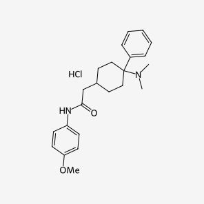 COc1ccc(NC(=O)CC2CCC(c3ccccc3)(N(C)C)CC2)cc1.Cl